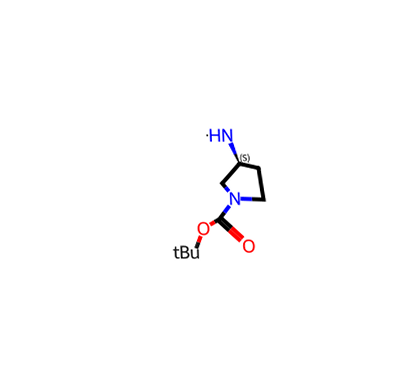 CC(C)(C)OC(=O)N1CC[C@H]([NH])C1